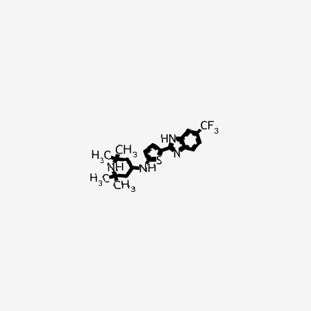 CC1(C)CC(Nc2ccc(-c3nc4ccc(C(F)(F)F)cc4[nH]3)s2)CC(C)(C)N1